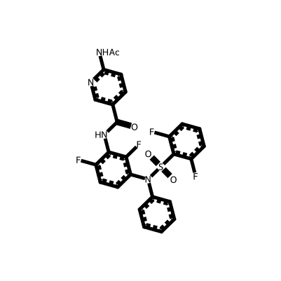 CC(=O)Nc1ccc(C(=O)Nc2c(F)ccc(N(c3ccccc3)S(=O)(=O)c3c(F)cccc3F)c2F)cn1